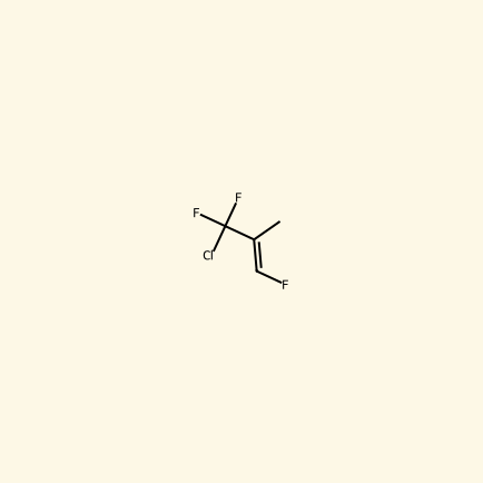 C/C(=C\F)C(F)(F)Cl